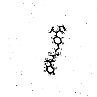 CN(C)C(c1cccs1)C1CCC(CCNC(=O)Oc2csc3ccccc23)CC1